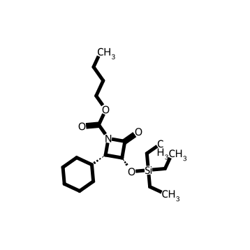 CCCCOC(=O)N1C(=O)[C@H](O[Si](CC)(CC)CC)[C@@H]1C1CCCCC1